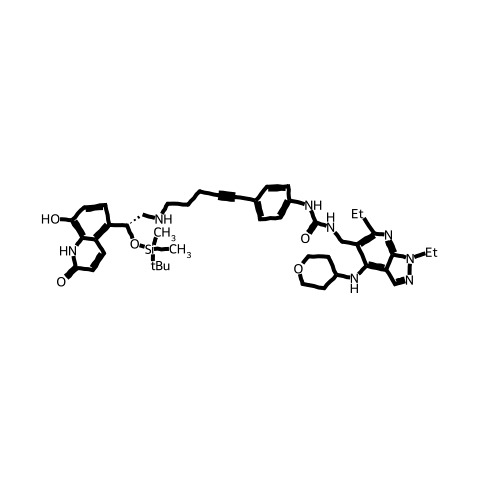 CCc1nc2c(cnn2CC)c(NC2CCOCC2)c1CNC(=O)Nc1ccc(C#CCCCNC[C@H](O[Si](C)(C)C(C)(C)C)c2ccc(O)c3[nH]c(=O)ccc23)cc1